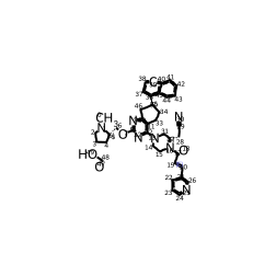 CN1CCC[C@H]1COc1nc2c(c(N3CCN(C(=O)/C=C/c4cccnc4)[C@@H](CC#N)C3)n1)CC[C@H](c1cccc3ccccc13)C2.O=CO